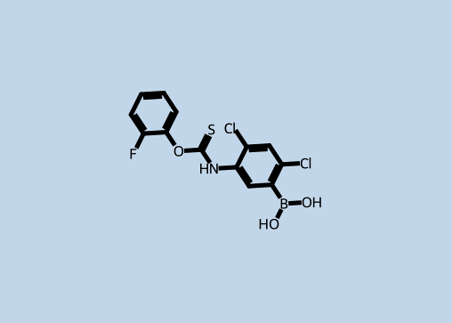 OB(O)c1cc(NC(=S)Oc2ccccc2F)c(Cl)cc1Cl